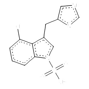 CS(=O)(=O)n1cc(Cc2c[nH]cn2)c2c(Cl)cccc21